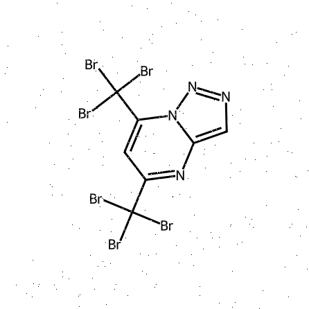 BrC(Br)(Br)c1cc(C(Br)(Br)Br)n2nncc2n1